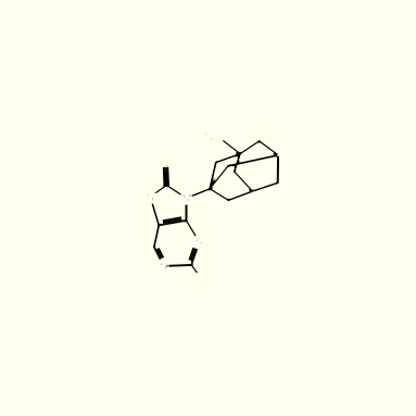 N#CC12CC3CC(C1)CC(n1c(=O)[nH]c4cnc(Cl)nc41)(C3)C2